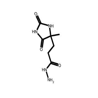 CC1(CCC(=O)NN)NC(=O)NC1=O